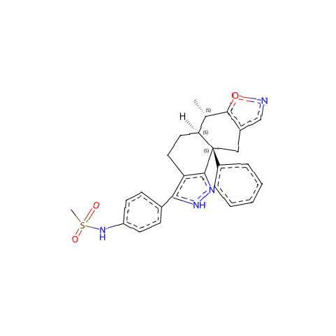 C[C@@H]1c2oncc2C[C@]2(c3ccccc3)c3n[nH]c(-c4ccc(NS(C)(=O)=O)cc4)c3CC[C@@H]12